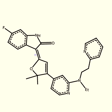 CCN(CCc1ccccn1)c1cc(C2=C/C(=C3\C(=O)Nc4cc(F)ccc43)OC2(C)C)ccn1